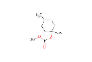 CCCC1(OC(=O)OC(C)(C)C)CCC(C)CC1